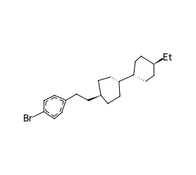 CC[C@H]1CC[C@H]([C@H]2CC[C@H](CCc3ccc(Br)cc3)CC2)CC1